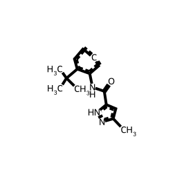 Cc1cc(C(=O)Nc2ccccc2C(C)(C)C)[nH]n1